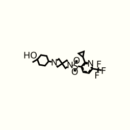 CC1(O)CCC(N2CC3(C2)CN(S(=O)(=O)c2ccc(C(F)(F)F)nc2C2CC2)C3)CC1